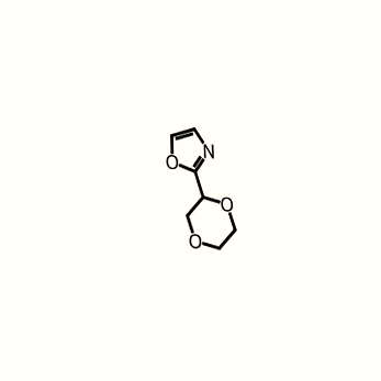 c1coc(C2COCCO2)n1